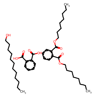 CCCCCCCCCCCCO.CCCCCCCCOC(=O)c1ccccc1C(=O)OCCCCCCCC.O=C(O)c1ccccc1C(=O)O